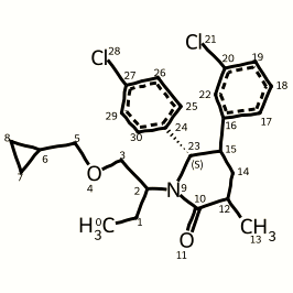 CCC(COCC1CC1)N1C(=O)C(C)CC(c2cccc(Cl)c2)[C@H]1c1ccc(Cl)cc1